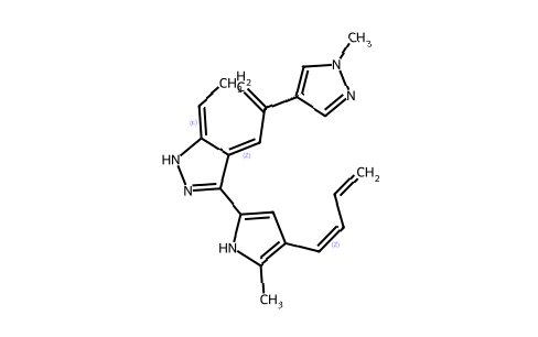 C=C/C=C\c1cc(-c2n[nH]c(=C/C)/c2=C\C(=C)c2cnn(C)c2)[nH]c1C